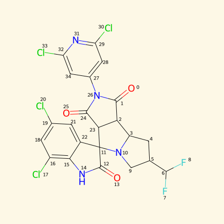 O=C1C2C3CC(C(F)F)CN3C3(C(=O)Nc4c(Cl)cc(Cl)cc43)C2C(=O)N1c1cc(Cl)nc(Cl)c1